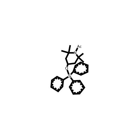 CC(=O)N1C(C)(C)CC(O[Si](c2ccccc2)(c2ccccc2)c2ccccc2)CC1(C)C